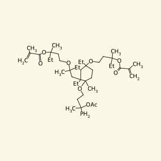 C=C(C)C(=O)OC(C)(CC)CCOC(C)(CC)CC1(CC)CC(CC)(OCCC(C)(CC)OC(=O)C(=C)C)CCC1(C)OCCC(C)(P)OC(C)=O